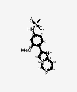 COc1cc(NS(C)(=O)=O)ccc1-c1cn2cnccc2n1